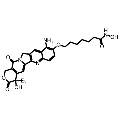 CC[C@@]1(O)C(=O)OCc2c1cc1n(c2=O)Cc2cc3c(N)c(OCCCCCCC(=O)NO)ccc3nc2-1